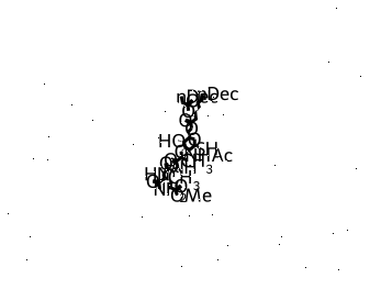 CCCCCCCCCCCCC[C@H](CC(=O)OC[C@H]1O[C@@H](S)[C@H](NC(C)=O)[C@H](OC(C)C(=O)N[C@@H](C)C(=O)N[C@H](CCC(=O)OC)C(N)=O)[C@@H]1O)OC(=O)CCCCCCCCCCC